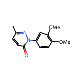 COc1ccc(-n2nc(C)ccc2=O)cc1OC